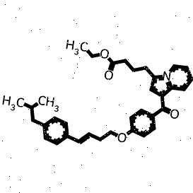 CCOC(=O)CCCc1cc(C(=O)c2ccc(OCCC=Cc3ccc(CC(C)C)cc3)cc2)c2ccccn12